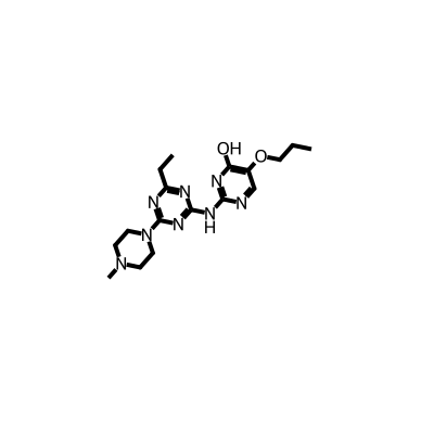 CCCOc1cnc(Nc2nc(CC)nc(N3CCN(C)CC3)n2)nc1O